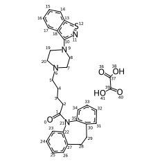 O=C(CCCCN1CCN(c2nsc3ccccc23)CC1)N1c2ccccc2CCc2ccccc21.O=C(O)C(=O)O